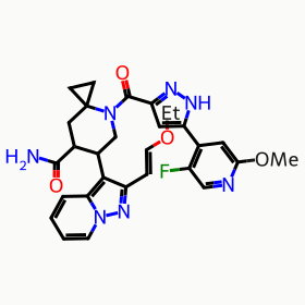 CCOC=Cc1nn2ccccc2c1C1CN(C(=O)c2cc(-c3cc(OC)ncc3F)[nH]n2)C2(CC2)CC1C(N)=O